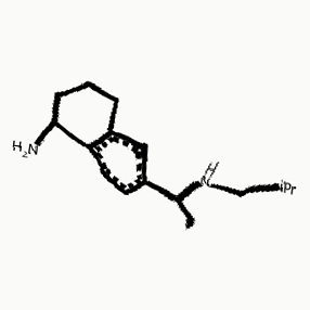 CC(C)CNC(C)c1ccc2c(c1)CCCC2N